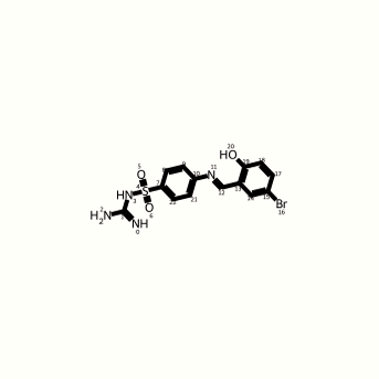 N=C(N)NS(=O)(=O)c1ccc(/N=C/c2cc(Br)ccc2O)cc1